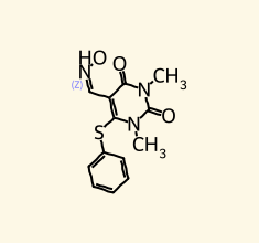 Cn1c(Sc2ccccc2)c(/C=N\O)c(=O)n(C)c1=O